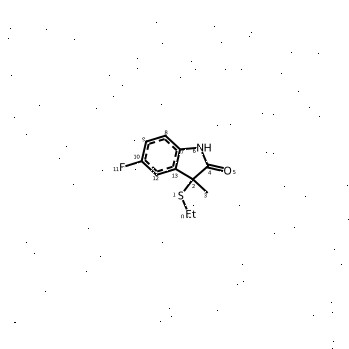 CCSC1(C)C(=O)Nc2ccc(F)cc21